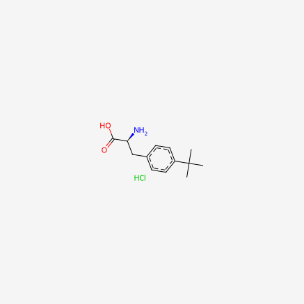 CC(C)(C)c1ccc(C[C@H](N)C(=O)O)cc1.Cl